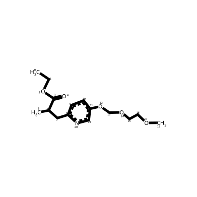 CCOC(=O)C(C)Cc1ccc(OCOCCOC)cn1